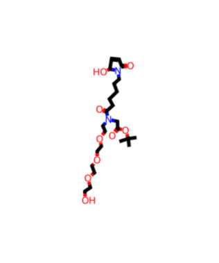 CC(C)(C)OC(=O)CN(CCOCCOCCOCCO)C(=O)CCCCCN1C(=O)C=CC1O